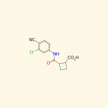 N#Cc1ccc(NC(=O)C2CCC2C(=O)O)cc1Cl